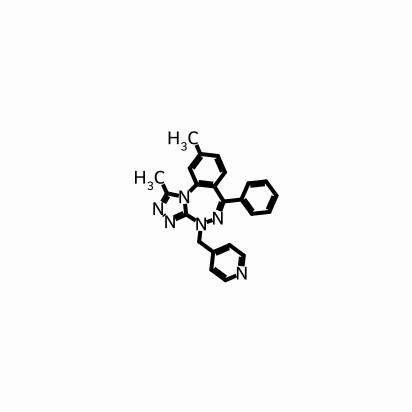 Cc1ccc2c(c1)-n1c(C)nnc1N(Cc1ccncc1)N=C2c1ccccc1